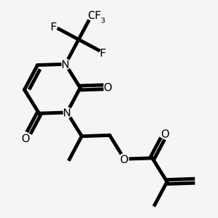 C=C(C)C(=O)OCC(C)n1c(=O)ccn(C(F)(F)C(F)(F)F)c1=O